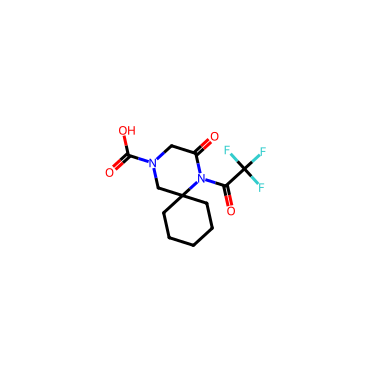 O=C(O)N1CC(=O)N(C(=O)C(F)(F)F)C2(CCCCC2)C1